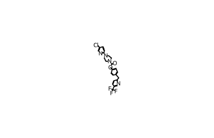 O=C(Oc1ccc(Cc2ccc(C(F)(F)F)cn2)cc1)N1CCN(c2ccc(Cl)cn2)CC1